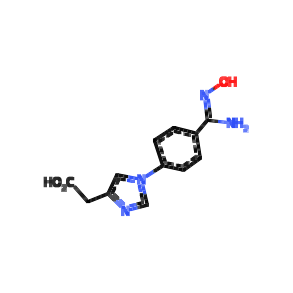 NC(=NO)c1ccc(-n2cnc(CC(=O)O)c2)cc1